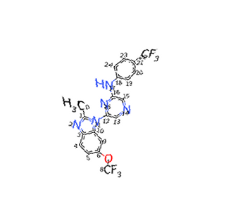 Cc1nc2ccc(OC(F)(F)F)cc2n1-c1cncc(Nc2ccc(C(F)(F)F)cc2)n1